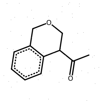 CC(=O)C1COCc2ccccc21